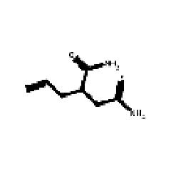 C=CCC(CC(N)=S)C(N)=O